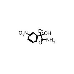 CCC(O)(C(N)=O)c1cccc([N+](=O)[O-])c1